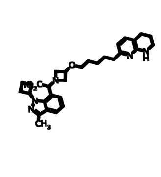 Cc1nn(C2CCC2)c2c(C(C(=O)O)N3CC(OCCCCCc4ccc5c(n4)NCCC5)C3)cccc12